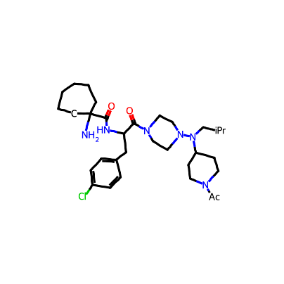 CC(=O)N1CCC(N(CC(C)C)N2CCN(C(=O)C(Cc3ccc(Cl)cc3)NC(=O)C3(N)CCCCCC3)CC2)CC1